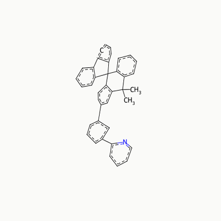 CC1(C)c2ccccc2C2(c3ccccc3-c3ccccc32)c2ccc(-c3cccc(-c4ccccn4)c3)cc21